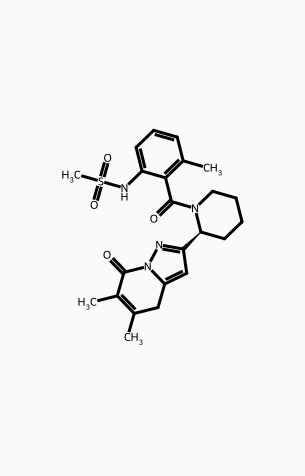 CC1=C(C)C(=O)n2nc([C@@H]3CCCCN3C(=O)c3c(C)cccc3NS(C)(=O)=O)cc2C1